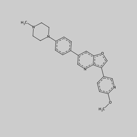 COc1ccc(-c2coc3cc(-c4ccc(N5CCN(C)CC5)cc4)cnc23)cn1